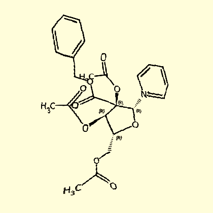 CC(=O)OC[C@H]1O[C@@H]([n+]2ccccc2)[C@@](OC(C)=O)(C(=O)OCc2ccccc2)[C@@H]1OC(C)=O